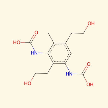 Cc1c(CCO)cc(NC(=O)O)c(CCO)c1NC(=O)O